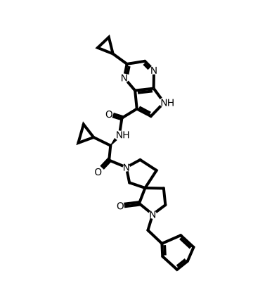 O=C(N[C@@H](C(=O)N1CCC2(CCN(Cc3ccccc3)C2=O)C1)C1CC1)c1c[nH]c2ncc(C3CC3)nc12